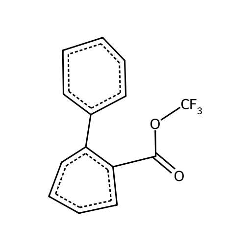 O=C(OC(F)(F)F)c1ccccc1-c1ccccc1